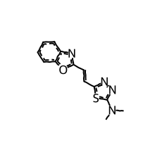 CN(C)c1nnc(C=Cc2nc3ccccc3o2)s1